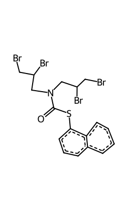 O=C(Sc1cccc2ccccc12)N(CC(Br)CBr)CC(Br)CBr